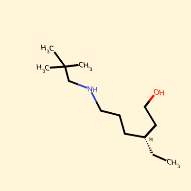 CC[C@@H](CCO)CCCNCC(C)(C)C